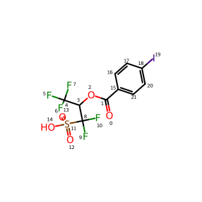 O=C(OC(C(F)(F)F)C(F)(F)S(=O)(=O)O)c1ccc(I)cc1